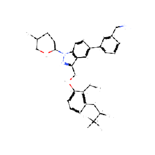 CCCCC1CCC(n2nc(COc3cccc(CC(C)C(CC)(CC)C(C)C)c3CC(=O)O)c3cc(-c4cccc(CN)c4)ccc32)OC1